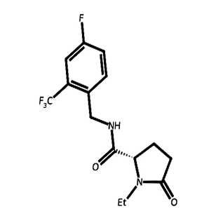 CCN1C(=O)CC[C@H]1C(=O)NCc1ccc(F)cc1C(F)(F)F